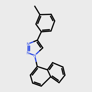 Cc1cccc(-c2cn(-c3cccc4ccccc34)nn2)c1